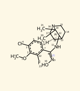 COc1c(Cl)ccc(/C(=N\O)N[C@@H]2C3CCN(CC3)C2(C)C)c1F